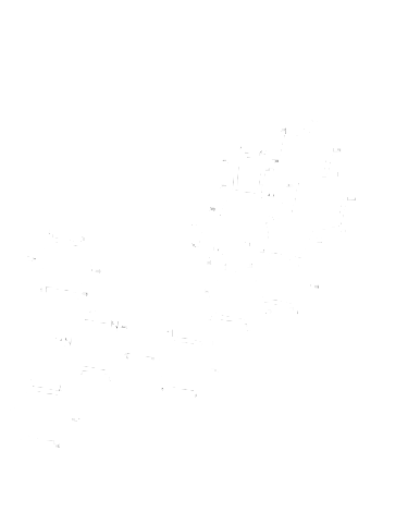 c1ccc(-c2cc(-c3cccc(-c4ccc5c6c(ccc5c4)-c4ccc5ccccc5c4C64c5ccccc5-c5ccccc54)c3)nc(-c3ccccc3)n2)cc1